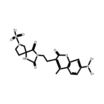 CCN(CC)c1ccc2c(C)c(CCN3C(=O)NC4(CCN(S(=O)(=O)CC)C4)C3=O)c(=O)oc2c1